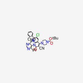 CC(C)c1ncnc(C(C)C)c1-n1c(=O)c(C#N)c(N2CCN(C(=O)OC(C)(C)C)CC2)c2cc(Cl)c(-c3ccccc3C=O)nc21